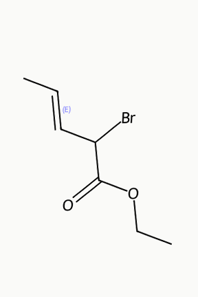 C/C=C/C(Br)C(=O)OCC